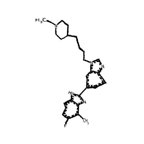 Cc1c(F)ccc2[nH]c(-c3ccc4ncn(CCCCC5CCN(C)CC5)c4c3)nc12